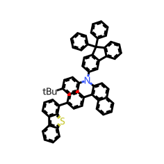 CC(C)(C)c1ccc(N(c2ccc3c(c2)-c2ccccc2C3(c2ccccc2)c2ccccc2)c2ccc3ccccc3c2-c2ccc(-c3cccc4c3sc3ccccc34)cc2)cc1